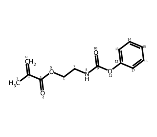 C=C(C)C(=O)OCCNC(=O)Oc1ccccc1